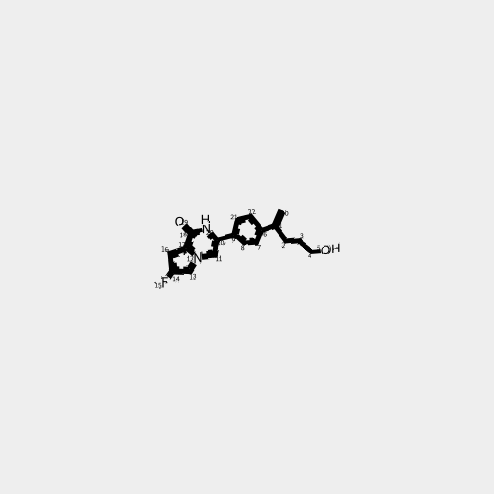 C=C(CCCO)c1ccc(-c2cn3cc(F)cc3c(=O)[nH]2)cc1